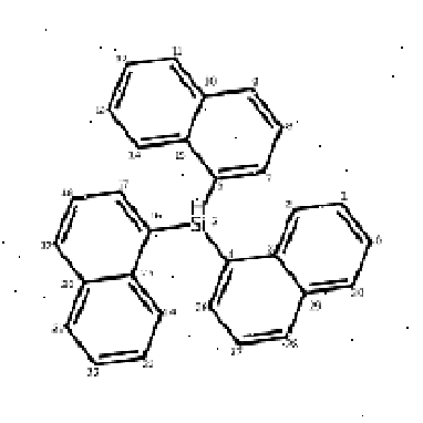 c1ccc2c([SiH](c3cccc4ccccc34)c3cccc4ccccc34)cccc2c1